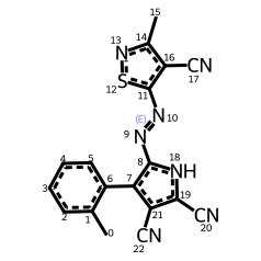 Cc1ccccc1-c1c(/N=N/c2snc(C)c2C#N)[nH]c(C#N)c1C#N